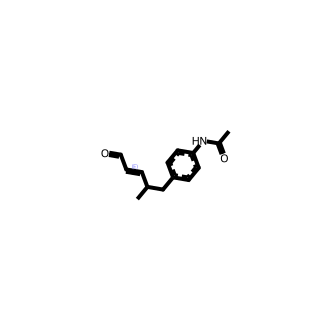 CC(=O)Nc1ccc(CC(C)/C=C/C=O)cc1